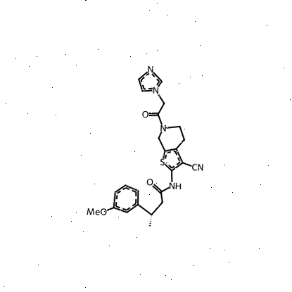 COc1cccc([C@@H](C)CC(=O)Nc2sc3c(c2C#N)CCN(C(=O)Cn2ccnc2)C3)c1